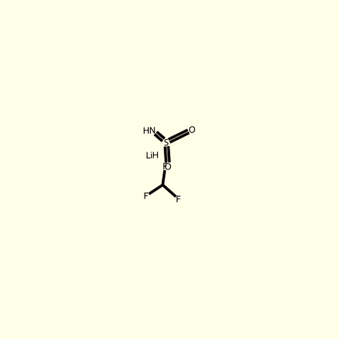 FC(F)F.N=S(=O)=O.[LiH]